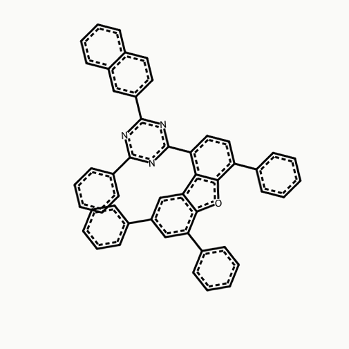 c1ccc(-c2cc(-c3ccccc3)c3oc4c(-c5ccccc5)ccc(-c5nc(-c6ccccc6)nc(-c6ccc7ccccc7c6)n5)c4c3c2)cc1